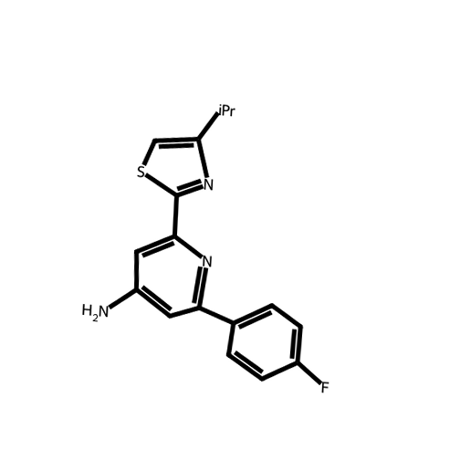 CC(C)c1csc(-c2cc(N)cc(-c3ccc(F)cc3)n2)n1